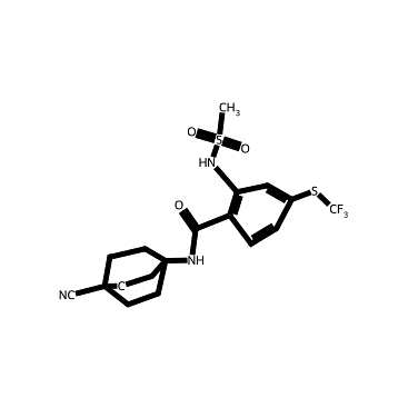 CS(=O)(=O)Nc1cc(SC(F)(F)F)ccc1C(=O)NC12CCC(C#N)(CC1)CC2